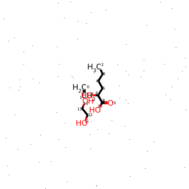 C=C.CCCCC(O)C(=O)O.OCCO